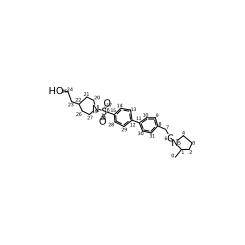 CC1CCCN1CCc1ccc(-c2ccc(S(=O)(=O)N3CCC(CCO)CC3)cc2)cc1